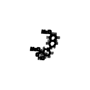 COC(=O)[C@H]1CN(C2CCc3ccc(OC)cc3C2)CC[C@@H]1O